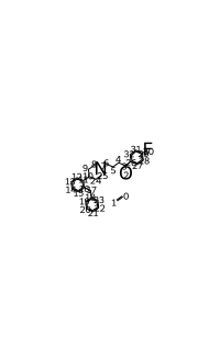 C=C.O=C(CCCN1CCC(c2ccccc2Cc2ccccc2)CC1)c1ccc(F)cc1